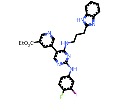 CCOC(=O)c1cncc(-c2cnc(Nc3ccc(F)c(I)c3)nc2NCCCc2nc3ccccc3[nH]2)c1